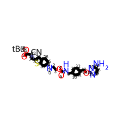 CN(CCOC(=O)NCc1ccc(COc2nccc(N)n2)cc1)c1ccc2cc(/C=C(\C#N)C(=O)OC(C)(C)C)sc2c1